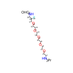 CC(C)NCCOCCOCCOCCOCCOCC(F)CNC=O